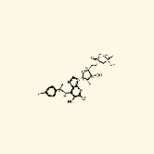 C[C@@H](Nc1c(C#N)c(Cl)nc2c1ncn2[C@@H]1O[C@H](COP(=O)(O)CP(=O)(O)O)[C@@H](O)[C@@H]1F)c1ccc(F)cc1